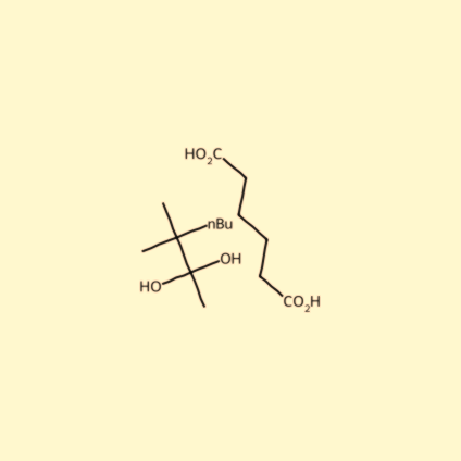 CCCCC(C)(C)C(C)(O)O.O=C(O)CCCCC(=O)O